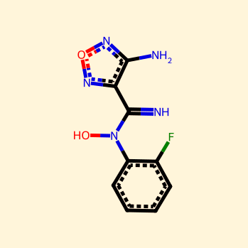 N=C(c1nonc1N)N(O)c1ccccc1F